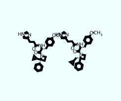 COc1ccc(C[C@@H](NC(=O)CCc2c[nH]cn2)C(=O)N2CC[C@@]2(CC2CC2)c2ccccc2)cc1.COc1ccc(C[C@@H](NC(=O)CCc2c[nH]cn2)C(=O)N2CC[C@@]2(c2ccccc2)C2CC2)cc1